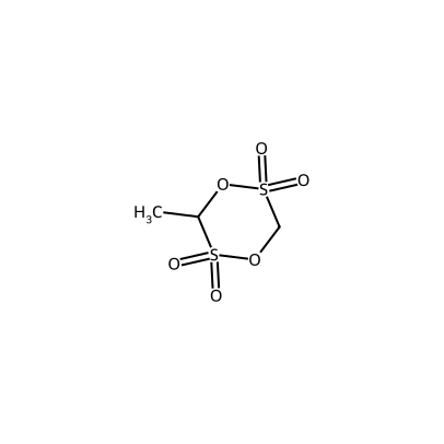 CC1OS(=O)(=O)COS1(=O)=O